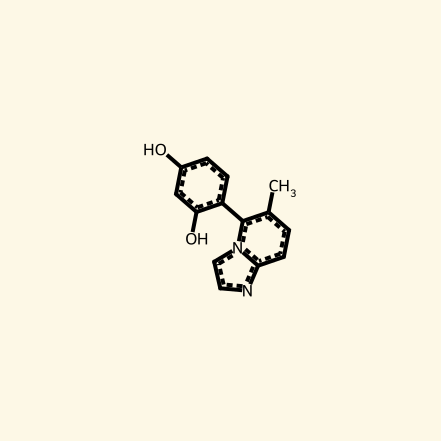 Cc1ccc2nccn2c1-c1ccc(O)cc1O